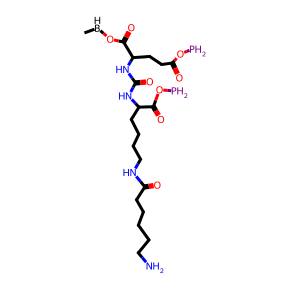 CBOC(=O)C(CCC(=O)OP)NC(=O)NC(CCCCNC(=O)CCCCCN)C(=O)OP